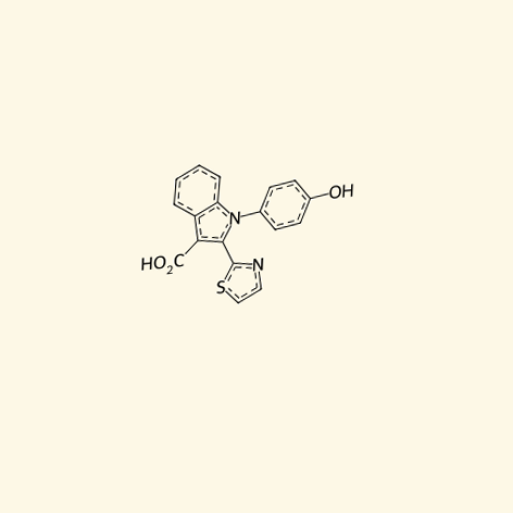 O=C(O)c1c(-c2nccs2)n(-c2ccc(O)cc2)c2ccccc12